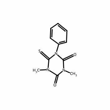 Cn1c(=O)n(C)c(=S)n(-c2ccccc2)c1=O